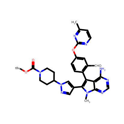 Cc1ccnc(Oc2ccc(-c3c(-c4cnn(C5CCN(C(=O)OC(C)(C)C)CC5)c4)n(C)c4ncnc(N)c34)c(C=O)c2)n1